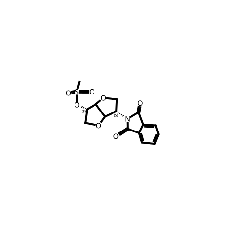 CS(=O)(=O)O[C@H]1COC2C1OC[C@@H]2N1C(=O)c2ccccc2C1=O